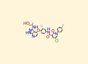 CC(CO)Nc1n[nH]c2nccc(Oc3ccc(NC(=O)c4cc(Cl)cn(-c5ccc(F)cc5)c4=O)cc3F)c12